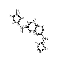 c1nnc(Nc2ccc3ncc(Nc4cn[nH]c4)cc3n2)s1